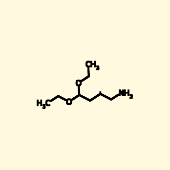 CCOC(C[CH]CN)OCC